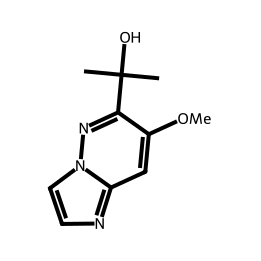 COc1cc2nccn2nc1C(C)(C)O